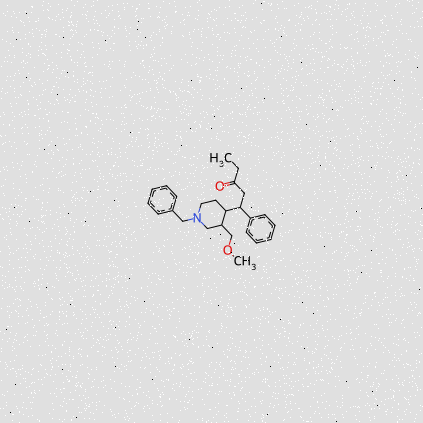 CCC(=O)CC(c1ccccc1)C1CCN(Cc2ccccc2)CC1COC